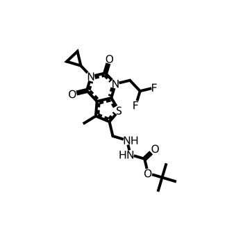 Cc1c(CNNC(=O)OC(C)(C)C)sc2c1c(=O)n(C1CC1)c(=O)n2CC(F)F